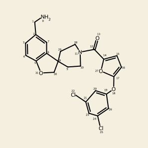 NCc1ccc2c(c1)C1(CCN(C(=O)c3ccc(Oc4cc(Cl)cc(Cl)c4)o3)CC1)CO2